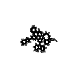 C=C1/C=C\C=C/CN(c2cc(-c3nc(-c4cc5ccccc5s4)cc(-c4ccccc4-c4ccccc4)n3)cc(-n3c4ccccc4c4ccccc43)c2)c2ccccc21